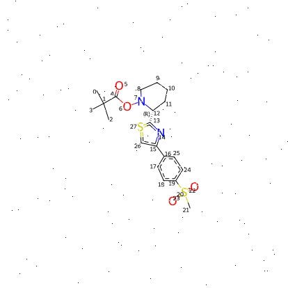 CC(C)(C)C(=O)ON1CCCC[C@@H]1c1nc(-c2ccc(S(C)(=O)=O)cc2)cs1